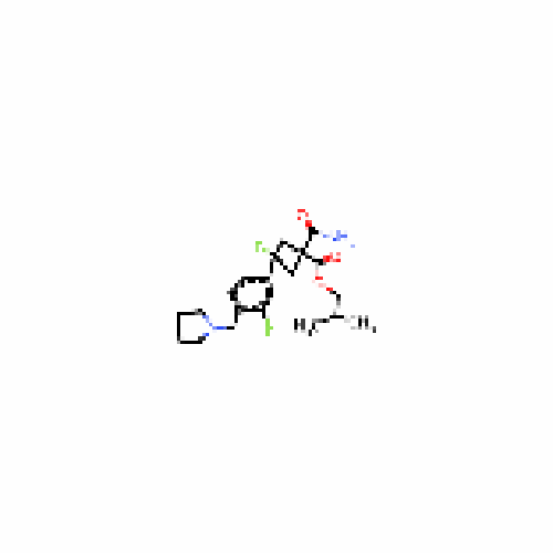 CC(C)COC(=O)C1(C(N)=O)CC(F)(c2ccc(CN3CCCC3)c(F)c2)C1